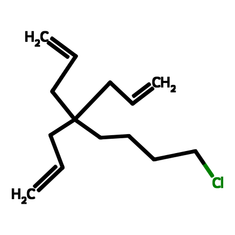 C=CCC(CC=C)(CC=C)CCCCCl